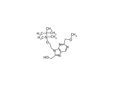 COCc1ncc2nc(CO)n(CCO[Si](C)(C)C(C)(C)C)c2n1